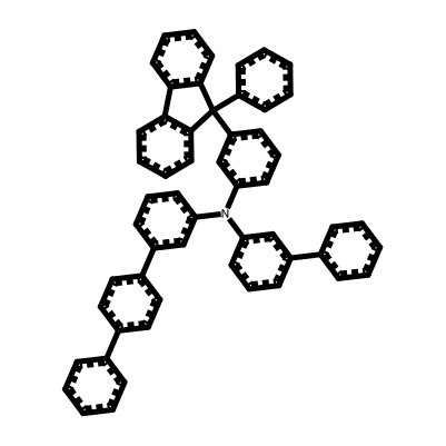 c1ccc(-c2ccc(-c3cccc(N(c4cccc(-c5ccccc5)c4)c4cccc(C5(c6ccccc6)c6ccccc6-c6ccccc65)c4)c3)cc2)cc1